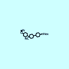 CCCCCCC1CCC(C2CCC(C#N)(C3CCC(OCCC)CC3)CC2)CC1